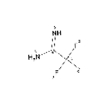 CC(F)(F)C(=N)N